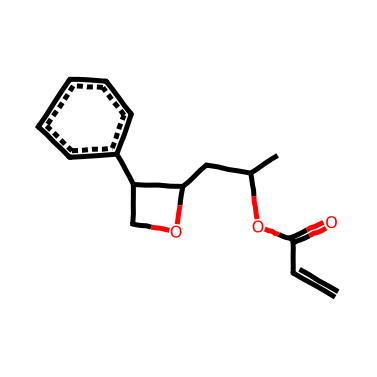 C=CC(=O)OC(C)CC1OCC1c1ccccc1